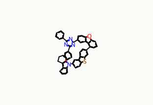 C1=Cc2c(c3ccccc3n2-c2ccc3sc4cc(-c5cccc6oc7ccc(-c8nc(-c9ccccc9)nc(-c9ccccc9)n8)cc7c56)ccc4c3c2)CC1